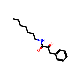 CCCCCCCNC(=O)C(=O)Cc1ccccc1